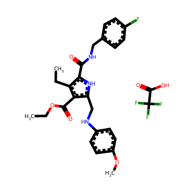 CCOC(=O)c1c(CNc2ccc(OC)cc2)[nH]c(C(=O)NCc2ccc(F)cc2)c1CC.O=C(O)C(F)(F)F